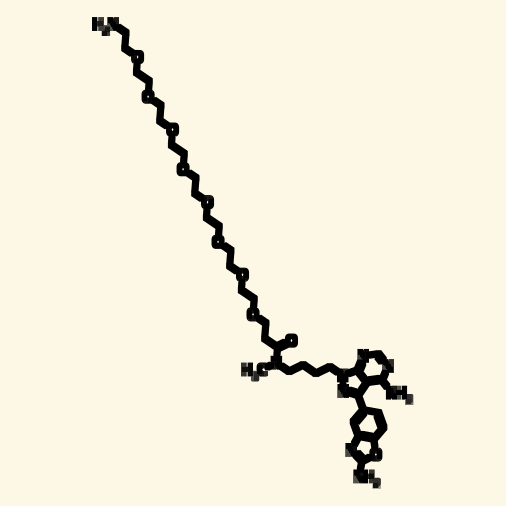 CN(CCCCn1nc(-c2ccc3oc(N)nc3c2)c2c(N)ncnc21)C(=O)CCOCCOCCOCCOCCOCCOCCOCCOCCN